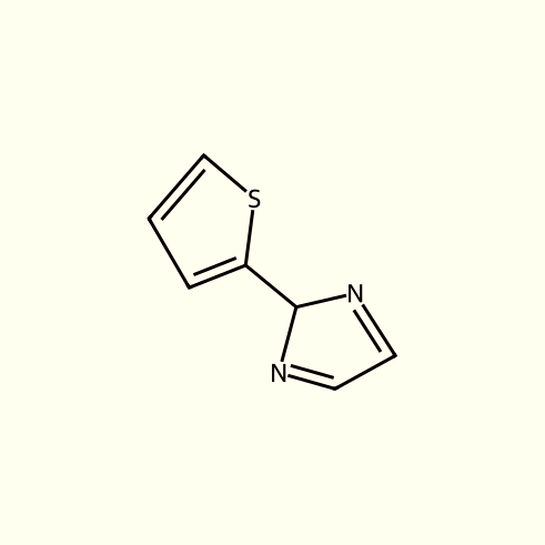 C1=NC(c2cccs2)N=C1